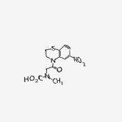 CN(CC(=O)N1CCSc2ccc([N+](=O)[O-])cc21)C(=O)O